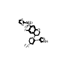 O=S(=O)(Nc1nccs1)c1cc2c(cc1F)[C@H](N1CC[C@@H](C(F)(F)F)C[C@@H]1c1cn[nH]c1)CCO2